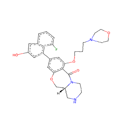 O=C1c2c(OCCCN3CCOCC3)cc(-c3cc(O)cc4cccc(F)c34)cc2OC[C@H]2CNCCN12